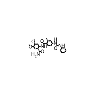 COc1cc(NC(=O)c2ccc(NC(=O)Nc3ccccc3)cc2C)c(C(N)=O)cc1OC